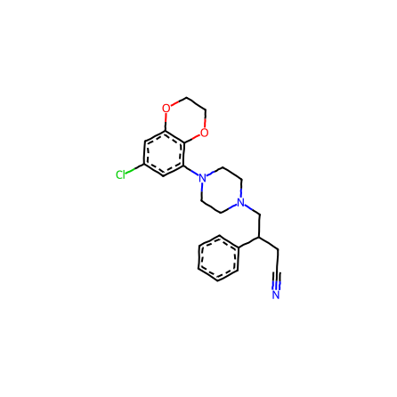 N#CCC(CN1CCN(c2cc(Cl)cc3c2OCCO3)CC1)c1ccccc1